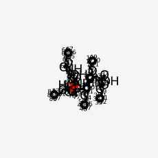 C[C@H](NC(=O)[C@H](Cc1cc(-c2ccc(OCc3ccccc3)c(C[C@H](NC(=O)OCc3ccccc3)C(=O)O)c2)ccc1OCc1ccccc1)NC(=O)[C@H](C[C@@H](O)CNC(=O)OCc1ccccc1)NC(=O)OC(C)(C)C)C(=O)OCc1ccccc1